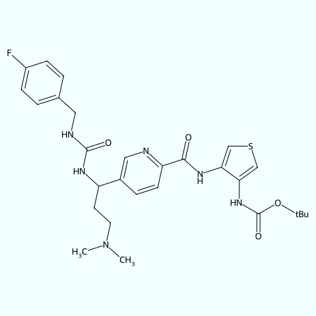 CN(C)CCC(NC(=O)NCc1ccc(F)cc1)c1ccc(C(=O)Nc2cscc2NC(=O)OC(C)(C)C)nc1